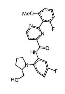 COc1cccc(F)c1-c1nccc(C(=O)Nc2cc(F)ccc2N2CCC[C@@H]2CO)n1